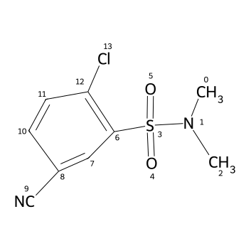 CN(C)S(=O)(=O)c1cc(C#N)ccc1Cl